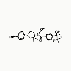 CC1(C)CC(c2ccc(C#N)cc2)CC[C@@H]1N(C(=O)c1ccc([C@](C)(O)C(F)(F)F)cc1)C1CC1